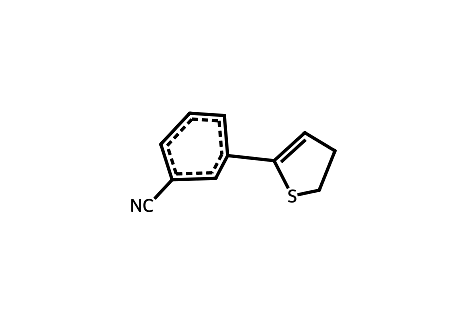 N#Cc1cccc(C2=CCCS2)c1